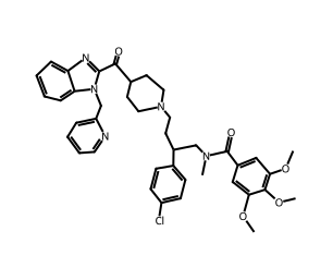 COc1cc(C(=O)N(C)CC(CCN2CCC(C(=O)c3nc4ccccc4n3Cc3ccccn3)CC2)c2ccc(Cl)cc2)cc(OC)c1OC